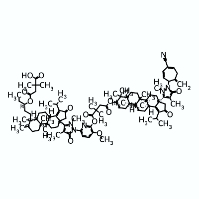 C=C1CC=C(C#N)C=CC1n1c(=O)c(C)c([C@@]23CC[C@]4(C)[C@H](CC[C@@H]5[C@@]6(C)CC[C@H](OC(=O)CC(C)(C)C(=O)Oc7nc(-n8c(=O)c(C)c([C@@]9%10CC[C@]%11(C)[C@H](CC[C@@H]%12[C@@](C)(CC[C@@H](CC)OC(=O)CC(C)(C)C(=O)O)[C@H](C)CC[C@]%12%11C)C9=C(C(C)C)C(=O)C%10)n8C)ccc7OC)C(C)(C)[C@@H]6CC[C@]54C)C2=C(C(C)C)C(=O)C3)n1C